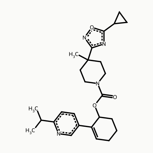 CC(C)c1ccc(C2=CCCCC2OC(=O)N2CCC(C)(c3noc(C4CC4)n3)CC2)cn1